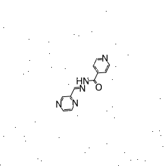 O=C(NN=Cc1cnccn1)c1ccncc1